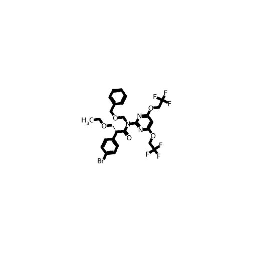 CCOC[C@H](C(=O)N(COCc1ccccc1)c1nc(OCC(F)(F)F)cc(OCC(F)(F)F)n1)c1ccc(Br)cc1